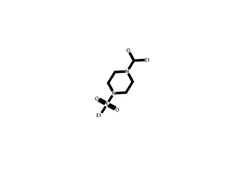 CCC([O])N1CCN(S(=O)(=O)CC)CC1